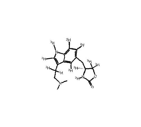 [2H]c1c(C[C@]2([2H])N([2H])C(=O)OC2([2H])[2H])c([2H])c2c(C([2H])([2H])CN(C)C)c([2H])n([2H])c2c1[2H]